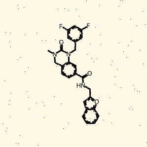 CN1Cc2ccc(C(=O)NCc3cc4ccccc4o3)cc2N(Cc2cc(F)cc(F)c2)C1=O